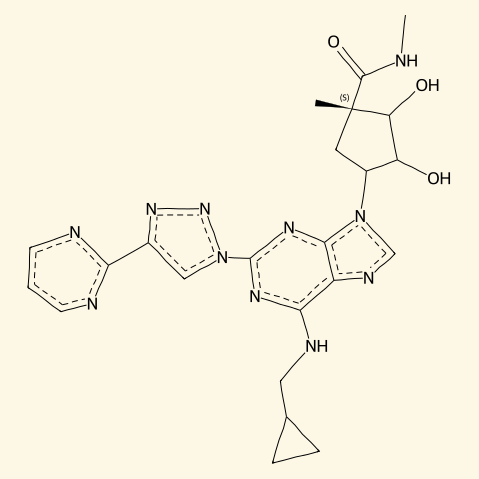 CNC(=O)[C@@]1(C)CC(n2cnc3c(NCC4CC4)nc(-n4cc(-c5ncccn5)nn4)nc32)C(O)C1O